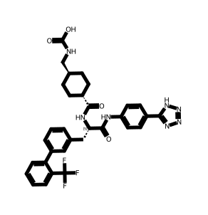 O=C(O)NC[C@H]1CC[C@H](C(=O)N[C@@H](Cc2cccc(-c3ccccc3C(F)(F)F)c2)C(=O)Nc2ccc(-c3nnn[nH]3)cc2)CC1